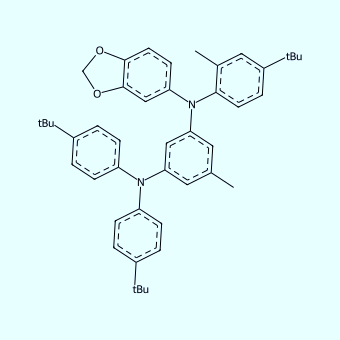 Cc1cc(N(c2ccc(C(C)(C)C)cc2)c2ccc(C(C)(C)C)cc2)cc(N(c2ccc3c(c2)OCO3)c2ccc(C(C)(C)C)cc2C)c1